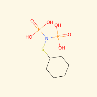 O=P(O)(O)N(SC1CCCCC1)P(=O)(O)O